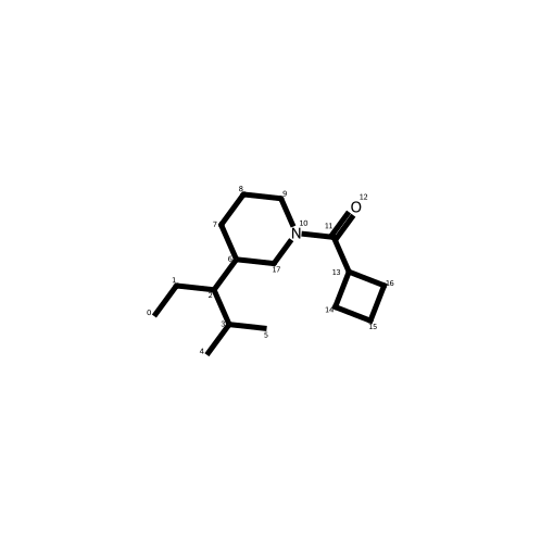 CCC(C(C)C)C1CCCN(C(=O)C2CCC2)C1